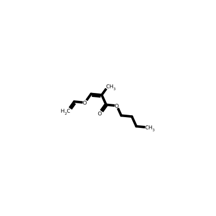 C=COC=C(C)C(=O)OCCCC